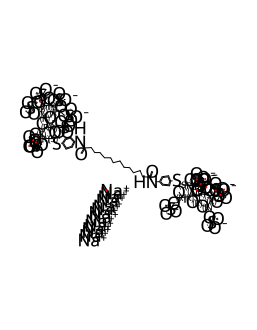 O=C(CCCCCCCCCCCCC(=O)Nc1ccc(S[C@@H]2O[C@H](COS(=O)(=O)[O-])[C@@H](O[C@H]3O[C@H](COS(=O)(=O)[O-])[C@@H](OS(=O)(=O)[O-])[C@H](OS(=O)(=O)[O-])[C@H]3OS(=O)(=O)[O-])[C@H](OS(=O)(=O)[O-])[C@H]2OS(=O)(=O)[O-])cc1)Nc1ccc(S[C@@H]2O[C@H](COS(=O)(=O)[O-])[C@@H](O[C@H]3O[C@H](COS(=O)(=O)[O-])[C@@H](OS(=O)(=O)[O-])[C@H](OS(=O)(=O)[O-])[C@H]3OS(=O)(=O)[O-])[C@H](OS(=O)(=O)[O-])[C@H]2OS(=O)(=O)[O-])cc1.[Na+].[Na+].[Na+].[Na+].[Na+].[Na+].[Na+].[Na+].[Na+].[Na+].[Na+].[Na+].[Na+].[Na+]